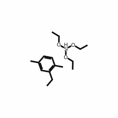 CCO[SiH](OCC)OCC.CCc1cc(C)ccc1C